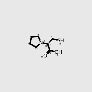 O=C(O)[C@H](CS)N1CCCC1